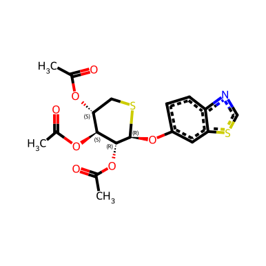 CC(=O)O[C@@H]1[C@@H](OC(C)=O)[C@H](OC(C)=O)CS[C@H]1Oc1ccc2ncsc2c1